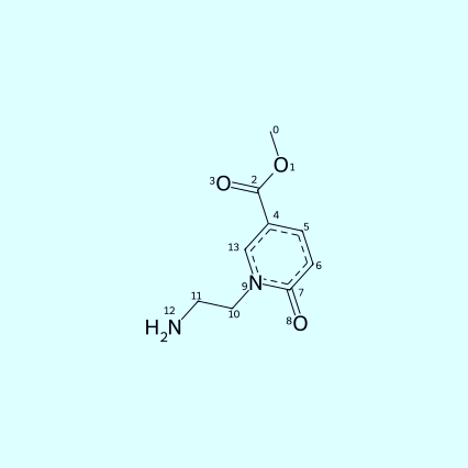 COC(=O)c1ccc(=O)n(CCN)c1